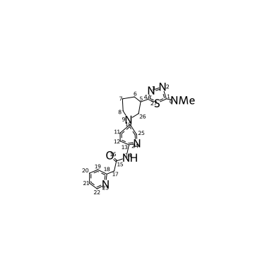 CNc1nnc(C2CCCN(c3ccc(NC(=O)Cc4ccccn4)nc3)C2)s1